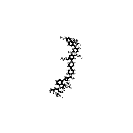 CCc1cc(Nc2ncc(Br)c(Nc3ccc4nc(C)ccc4c3P(C)(C)=O)n2)c(OC)cc1N1CCC(N2CCN(C(=O)C3CN(c4cccc5c4C(C)(C)C(=O)N5C(CCC=O)C(=O)NC)C3)CC2)CC1